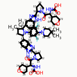 CC1C[C@H](c2ccc3[nH]c(C4CCCN4C(=O)C(NC(=O)O)C4CCOCC4)nc3c2)N(c2cc(F)c(N3CCC(C)(C)CC3)c(F)c2)[C@]1(C)c1ccc2[nH]c(C3CCCN3C(=O)[C@@H](NC(=O)O)C3CCOCC3)nc2c1